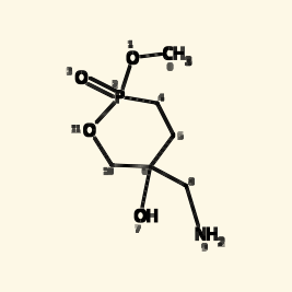 COP1(=O)CCC(O)(CN)CO1